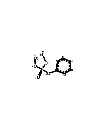 CCOP(=O)(OCC)Oc1cc[c]cc1